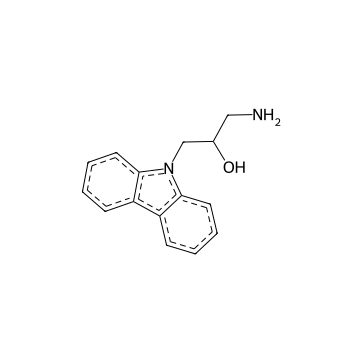 NCC(O)Cn1c2ccccc2c2ccccc21